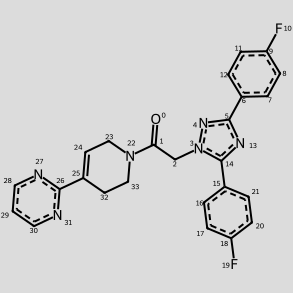 O=C(Cn1nc(-c2ccc(F)cc2)nc1-c1ccc(F)cc1)N1CC=C(c2ncccn2)CC1